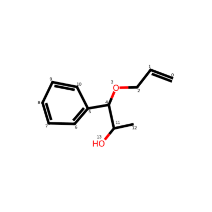 C=CCOC(c1ccccc1)C(C)O